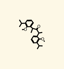 COc1c(C(C)C)cccc1C(C)C(=O)C(C)c1cccc(C(C)C)c1OC